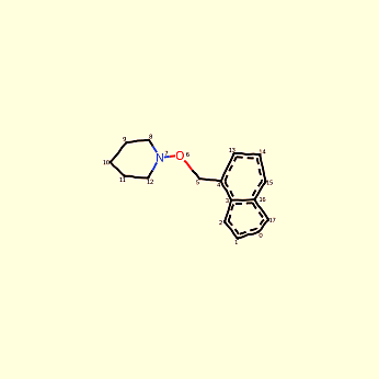 c1ccc2c(CON3CCCCC3)cccc2c1